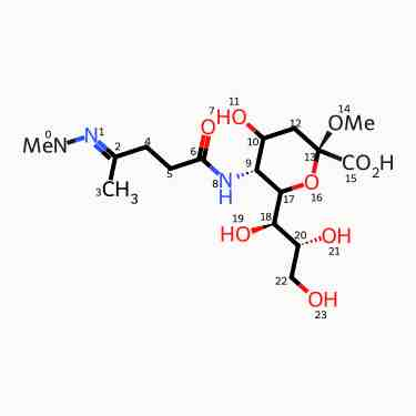 CN/N=C(\C)CCC(=O)N[C@@H]1C(O)C[C@](OC)(C(=O)O)OC1[C@H](O)[C@H](O)CO